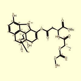 CC(C)COC(=O)[C@H](CC(=O)OC1=CC[C@@]2(O)[C@H]3Cc4ccc(O)c5c4[C@@]2(CCN3C)[C@H]1O5)NC(=O)[C@H](C)OC(=O)OC(C)(C)C